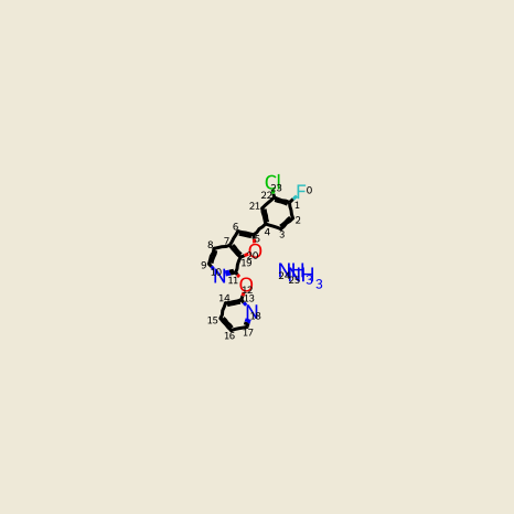 Fc1ccc(-c2cc3ccnc(Oc4ccccn4)c3o2)cc1Cl.N.N